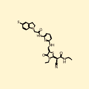 CCNC(=O)C(C#N)=c1sc(=CNc2cccc(NC(=O)CN3CCc4cc(F)ccc43)n2)c(=O)n1CC